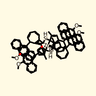 COc1c2ccccc2c(C2C=CC=CC3=C2C=C(C)[C]32[SiH](C)[C]3(C(C)=CC4=C3C=CC=CC4c3c4ccccc4c(OC)c4ccccc34)[Zr]23([Cl])([Cl])[C]2(C(C)=CC4=C2C=CC=CC4c2c4ccccc4c(OC)c4ccccc24)[SiH](C)[C]32C(C)=CC3=C2C=CC=CC3c2c3ccccc3c(OC)c3ccccc23)c2ccccc12